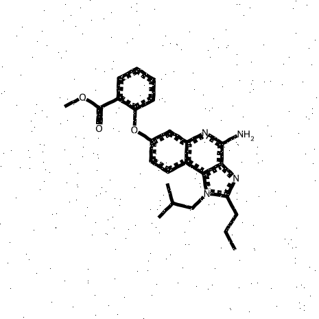 CCCc1nc2c(N)nc3cc(Oc4ccccc4C(=O)OC)ccc3c2n1CC(C)C